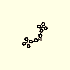 c1ccc([Si](c2ccccc2)(c2ccccc2)c2ccc(-c3ccc(Nc4ccc(-c5ccc([Si](c6ccccc6)(c6ccccc6)c6ccccc6)cc5)cc4)cc3)cc2)cc1